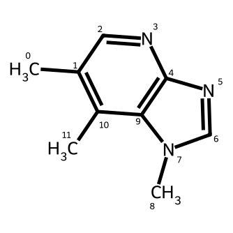 Cc1cnc2ncn(C)c2c1C